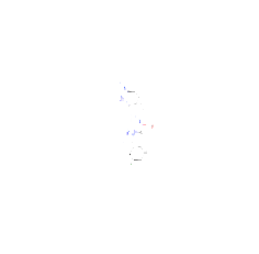 Nc1ccc(CNC(=O)[C@@H](N)Cc2ccc(Cl)cc2)cn1